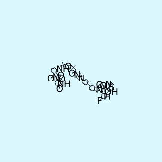 CC(C)(CNc1cccc2c1C(=O)N(C1CCC(=O)NC1=O)C2=O)COCC(C)(C)CC(=O)N1CCN(c2ccc(-c3ccc4c(c3)C(=O)N(C(C(=O)Nc3nccs3)c3cc(F)ccc3O)C4)cc2)CC1